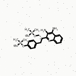 CC(C)(C)[Si](C)(C)OC[C@@H](Cc1ccc(O[Si](C)(C)C(C)(C)C)cc1)c1nc2ccccc2c(N)c1N